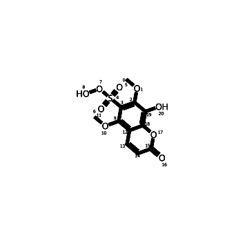 COc1c(S(=O)(=O)OO)c(OC)c2ccc(=O)oc2c1O